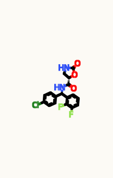 O=C1NC[C@@H](C(=O)N[C@H](c2ccc(Cl)cc2)c2cccc(F)c2F)O1